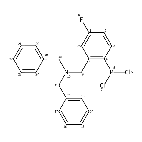 Fc1ccc(P(Cl)Cl)c(CN(Cc2ccccc2)Cc2ccccc2)c1